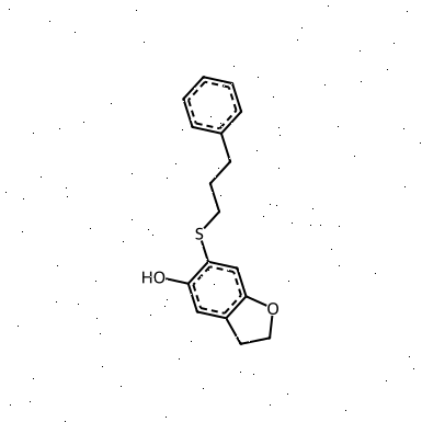 Oc1cc2c(cc1SCCCc1ccccc1)OCC2